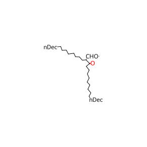 CCCCCCCCCCCCCCCCCCCC(=O)C([C]=O)CCCCCCCCCCCCCCCCCC